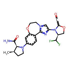 C[C@@H]1CCN(c2ccc3c(c2)OCCn2cc(N4C(=C=O)OC[C@H]4C(F)F)nc2-3)[C@@H]1C(N)=O